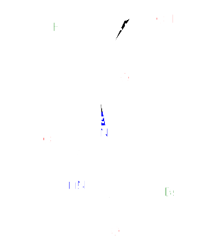 O=c1[nH]c(=O)n([C@H]2C[C@H](F)[C@@H](CO)O2)cc1Br